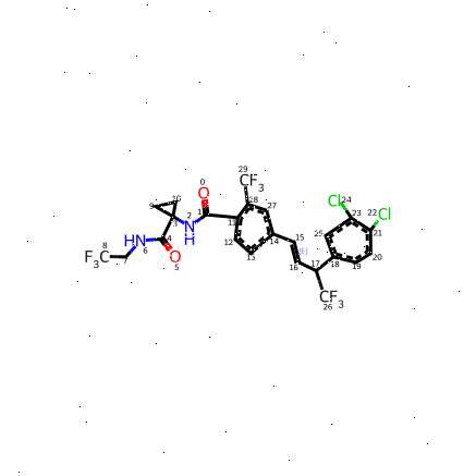 O=C(NC1(C(=O)NCC(F)(F)F)CC1)c1ccc(/C=C/C(c2ccc(Cl)c(Cl)c2)C(F)(F)F)cc1C(F)(F)F